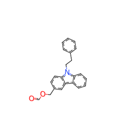 O=COCc1ccc2c(c1)c1ccccc1n2CCc1ccccc1